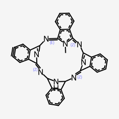 Cn1/c2c3ccccc3/c1=N\C1=NC(=N\C3NC(/N=C4N=C(/N=2)c2ccccc2\4)c2ccccc23)/c2cc#ccc21